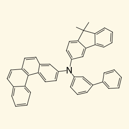 CC1(C)c2ccccc2-c2cc(N(c3cccc(-c4ccccc4)c3)c3ccc4c(ccc5ccc6ccccc6c54)c3)ccc21